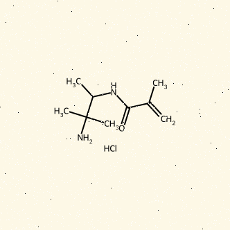 C=C(C)C(=O)NC(C)C(C)(C)N.Cl